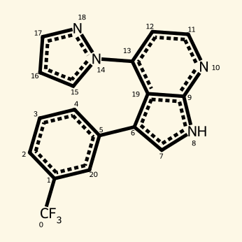 FC(F)(F)c1cccc(-c2c[nH]c3nccc(-n4cccn4)c23)c1